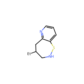 CCC1CNSc2cccnc2C1